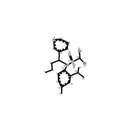 CCCC(c1cccnc1)N(c1ccc(C)cc1C(C)C)S(=O)(=O)C(Br)Br